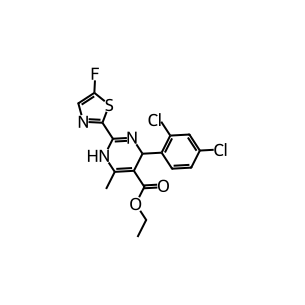 CCOC(=O)C1=C(C)NC(c2ncc(F)s2)=NC1c1ccc(Cl)cc1Cl